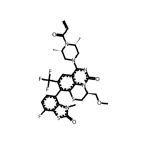 C=CC(=O)N1[C@H](C)CN(c2nc(=O)n3c4c(c(-c5ccc(F)c6sc(=O)n(C)c56)c(C(F)(F)F)cc24)SC[C@@H]3COC)C[C@@H]1C